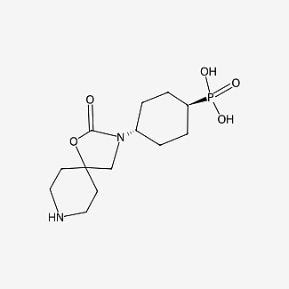 O=C1OC2(CCNCC2)CN1[C@H]1CC[C@H](P(=O)(O)O)CC1